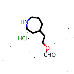 Cl.O=COCCC1CCCNCC1